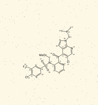 COCN(c1cccnc1C(=O)c1c(Cl)cnc2c1ccn2SP(I)I)S(=O)(=O)c1ccc(Cl)c(C(F)(F)F)c1